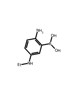 CCNc1ccc(N)c(B(O)O)c1